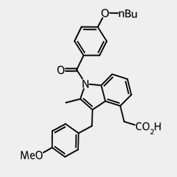 CCCCOc1ccc(C(=O)n2c(C)c(Cc3ccc(OC)cc3)c3c(CC(=O)O)cccc32)cc1